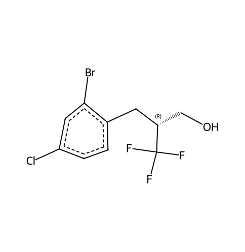 OC[C@@H](Cc1ccc(Cl)cc1Br)C(F)(F)F